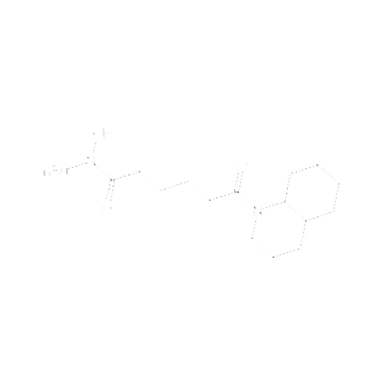 CCCCN(C)C(=O)CCCCC(=O)N1CCCC2CCCCC21